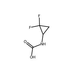 O=C(O)NC1CC1(F)F